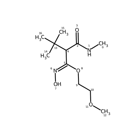 CNC(=O)C(C(=NO)OCCOC)C(C)(C)C